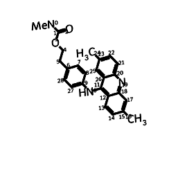 CNC(=O)OCCc1ccc(Nc2c3ccc(C)cc3nc3ccc(C)cc23)cc1